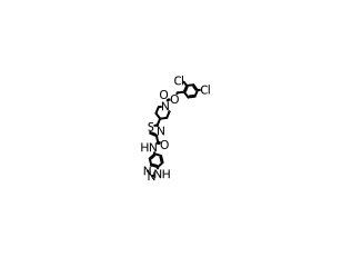 O=C(Nc1ccc2[nH]nnc2c1)c1csc(C2CCN(C(=O)OCc3ccc(Cl)cc3Cl)CC2)n1